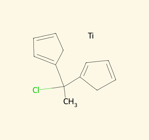 CC(Cl)(C1=CC=CC1)C1=CC=CC1.[Ti]